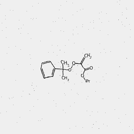 [C]C(C)OC(=O)C(=C)OOC(C)(C)c1ccccc1